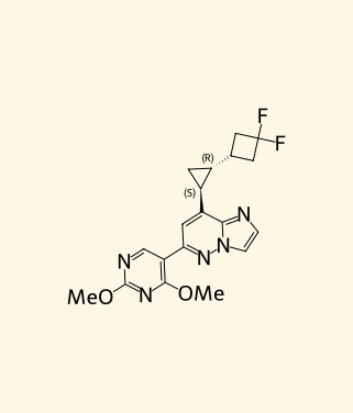 COc1ncc(-c2cc([C@H]3C[C@@H]3C3CC(F)(F)C3)c3nccn3n2)c(OC)n1